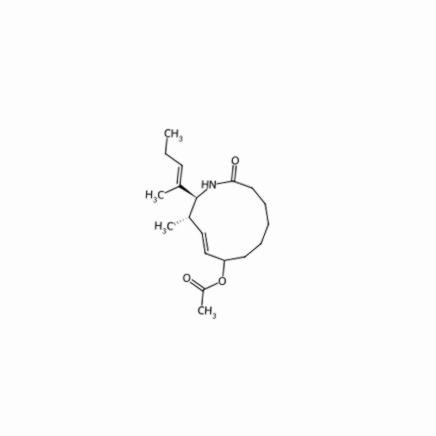 CC/C=C(\C)[C@H]1NC(=O)CCCCCC(OC(C)=O)/C=C/[C@@H]1C